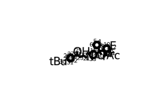 CC(=O)OC(c1ccccc1)(c1ccc(F)c(F)c1F)C1CCN(CCCC(O)c2ccc(C(C)(C)C)cc2)CC1